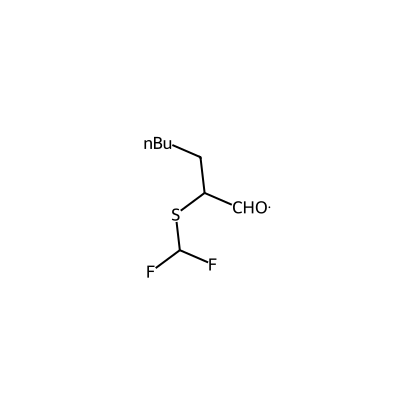 CCCCCC([C]=O)SC(F)F